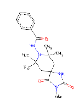 CCCCN1C(=O)NC2(CC(C)(C)N(NC(=O)c3ccccc3)C(C)(C)C2)C1=O